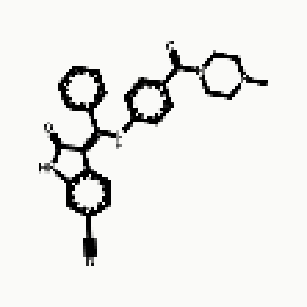 CN1CCN(C(=O)c2ccc(NC(=C3C(=O)Nc4cc(C#N)ccc43)c3ccccc3)cc2)CC1